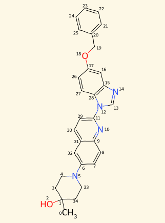 CC1(O)CCN(c2ccc3nc(-n4cnc5cc(OCc6ccccc6)ccc54)ccc3c2)CC1